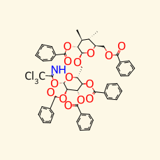 C[C@H]1[C@H](C)[C@@H](COC(=O)c2ccccc2)O[C@@H](OC[C@H]2O[C@@H](OC(=N)C(Cl)(Cl)Cl)[C@H](OC(=O)c3ccccc3)[C@@H](OC(=O)c3ccccc3)[C@@H]2OC(=O)c2ccccc2)[C@@H]1OC(=O)c1ccccc1